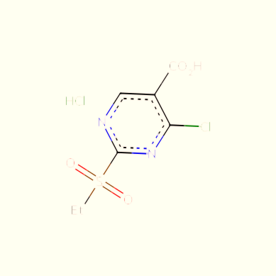 CCS(=O)(=O)c1ncc(C(=O)O)c(Cl)n1.Cl